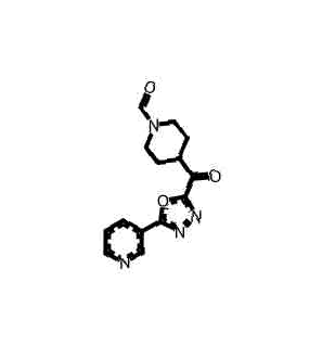 O=CN1CCC(C(=O)c2nnc(-c3cccnc3)o2)CC1